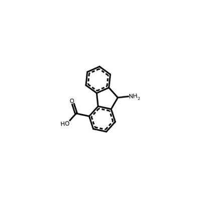 NC1c2ccccc2-c2c(C(=O)O)cccc21